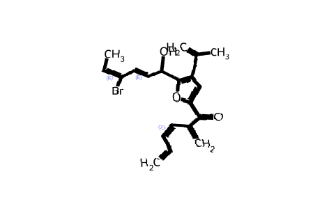 C=C/C=C\C(=C)C(=O)c1cc(C(=C)C)c(C(O)/C=C/C(Br)=C\C)o1